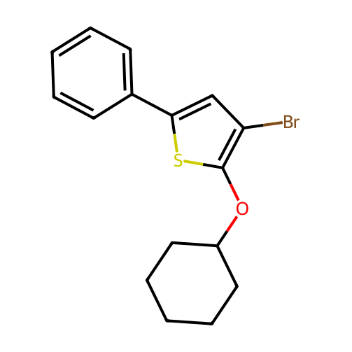 Brc1cc(-c2ccccc2)sc1OC1CCCCC1